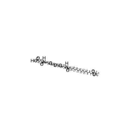 CC(C)(C)OC(=O)CCCCCCCCCCCCCCC(=O)NCCCOCCOCCOCCCNC(=O)CCC(=O)O